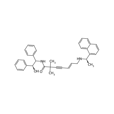 C[C@@H](NC/C=C/C#CC(C)(C)C(=O)NC(c1ccccc1)[C@@H](O)c1ccccc1)c1cccc2ccccc12